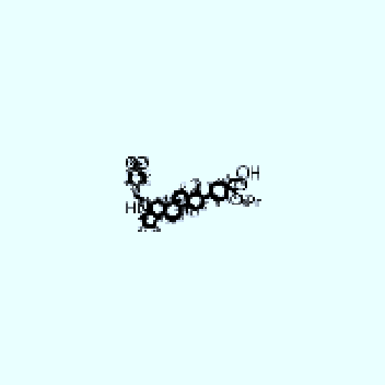 CC(C)OC(=O)C1(CCO)CC=C(C2=CC[C@@]3(C)C(CCC4(C)C3CCC3C5CCCC5(NCCN5CCS(=O)(=O)CC5)CC[C@]34C)C2C)CC1